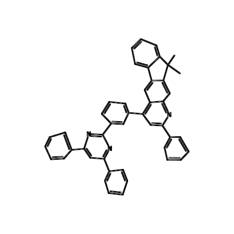 CC1(C)c2ccccc2-c2cc3c(-c4cccc(-c5nc(-c6ccccc6)cc(-c6ccccc6)n5)c4)cc(-c4ccccc4)nc3cc21